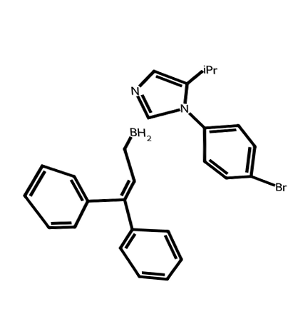 BCC=C(c1ccccc1)c1ccccc1.CC(C)c1cncn1-c1ccc(Br)cc1